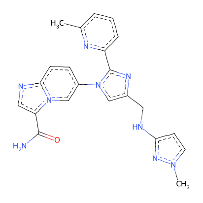 Cc1cccc(-c2nc(CNc3ccn(C)n3)cn2-c2ccc3ncc(C(N)=O)n3c2)n1